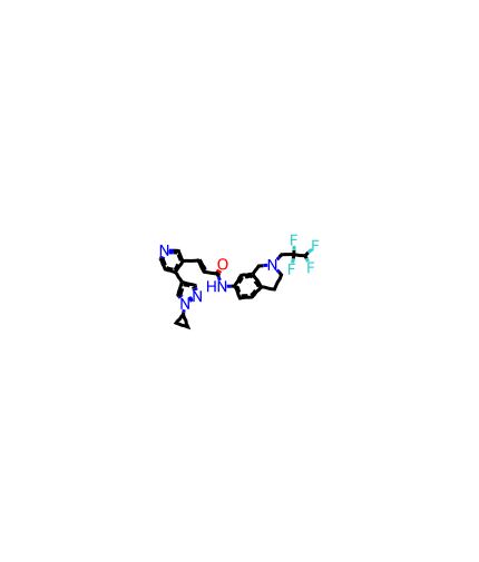 O=C(C=Cc1cnccc1-c1cnn(C2CC2)c1)Nc1ccc2c(c1)CN(CC(F)(F)C(F)F)CC2